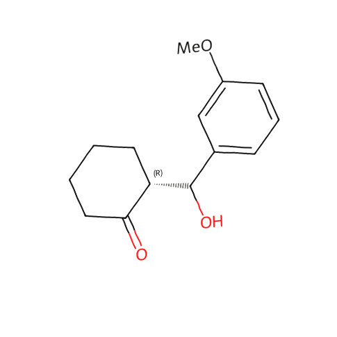 COc1cccc(C(O)[C@H]2CCCCC2=O)c1